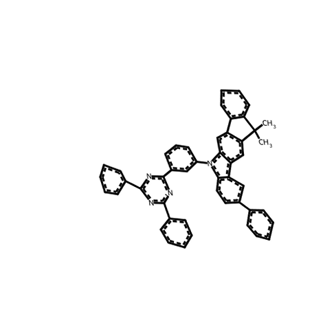 CC1(C)c2ccccc2-c2cc3c(cc21)c1cc(-c2ccccc2)ccc1n3-c1cccc(-c2nc(-c3ccccc3)nc(-c3ccccc3)n2)c1